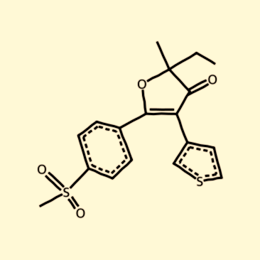 CCC1(C)OC(c2ccc(S(C)(=O)=O)cc2)=C(c2ccsc2)C1=O